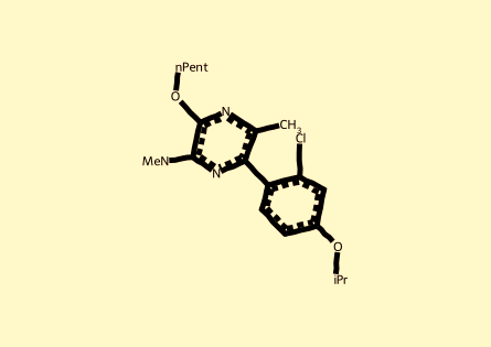 CCCCCOc1nc(C)c(-c2ccc(OC(C)C)cc2Cl)nc1NC